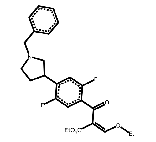 CCO/C=C(/C(=O)OCC)C(=O)c1cc(F)c(C2CCN(Cc3ccccc3)C2)cc1F